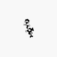 CC(C)n1cc2c(n1)C1(CC1)CN(CC(=O)Nc1ncccn1)C2=O